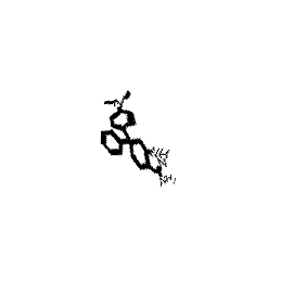 CN(C)c1ccc(C2(c3ccccc3)C=Cc3c(N)n[nH]c3C2)cc1